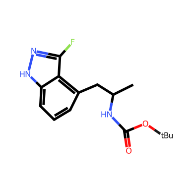 CC(Cc1cccc2[nH]nc(F)c12)NC(=O)OC(C)(C)C